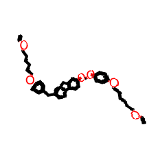 C=COCCCCCCOc1ccc(Cc2ccc3c(c2)Cc2cc(OCOc4ccc(OCCCCCCOC=C)cc4)ccc2-3)cc1